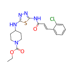 CCOC(=O)N1CCC(Nc2nnc(NC(=O)C=Cc3ccccc3Cl)s2)CC1